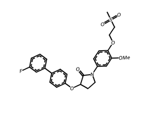 COc1cc(N2CCC(Oc3ccc(-c4cccc(F)c4)cc3)C2=O)ccc1OCCS(C)(=O)=O